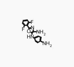 Nc1ccc(Nc2oc(-c3c(F)cccc3F)nc2N)cc1